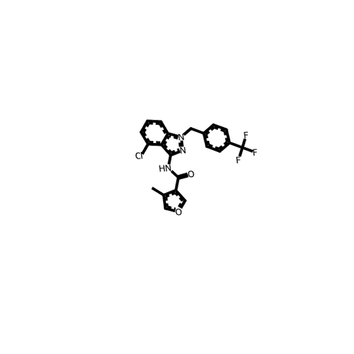 Cc1cocc1C(=O)Nc1nn(Cc2ccc(C(F)(F)F)cc2)c2cccc(Cl)c12